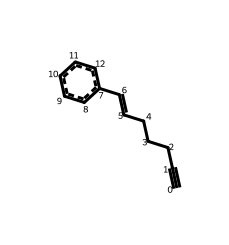 C#CCCCC=Cc1ccccc1